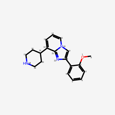 COc1ccccc1-c1cn2cccc(C3CCNCC3)c2n1